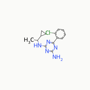 CC(Nc1nc(N)nc(-c2ccccc2Cl)n1)C1CC1